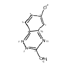 Oc1nnc2ccc(Cl)cc2n1